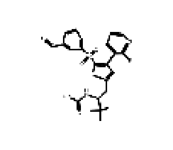 CC(C)(C)C(Cc1cc(-c2cccnc2F)c(S(=O)(=O)c2cccc(C=O)c2)s1)NC(=O)O